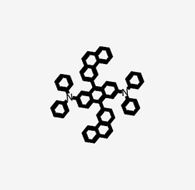 C1=C(c2c3cc(N(c4ccccc4)c4ccccc4)ccc3c(-c3ccc4ccc5ccccc5c4c3)c3cc(N(c4ccccc4)c4ccccc4)ccc23)CCc2ccc3ccccc3c21